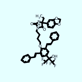 CCC1(c2ccc3c(c2)OCO3)NC(=O)N(CCCCOc2c(C=Cc3ccccc3)cc(C(O)(C(F)(F)F)C(F)(F)F)cc2C=Cc2ccccc2)C1=O